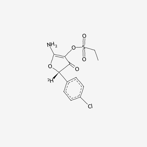 [2H][C@@]1(c2ccc(Cl)cc2)OC(N)=C(OS(=O)(=O)CC)C1=O